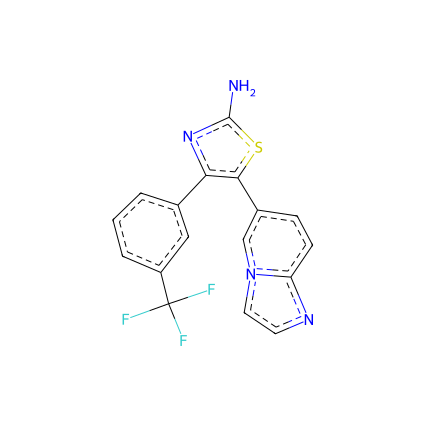 Nc1nc(-c2cccc(C(F)(F)F)c2)c(-c2ccc3nccn3c2)s1